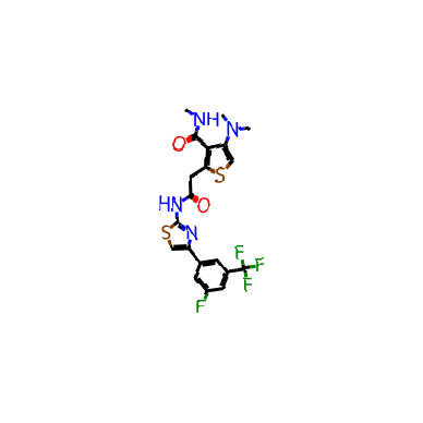 CNC(=O)c1c(N(C)C)csc1CC(=O)Nc1nc(-c2cc(F)cc(C(F)(F)F)c2)cs1